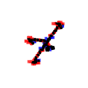 CC(=O)N[C@H]1[C@H](OCCOCCOCCOCC(=O)NCCCCC(NC(=O)COCCOCCOCCO[C@@H]2O[C@H](CO)[C@H](O)[C@H](O)[C@H]2NC(C)=O)C(=O)NC(CCCCNC(=O)COCCOCCOCCO[C@@H]2O[C@H](CO)[C@H](O)[C@H](O)[C@H]2NC(C)=O)C(=O)NC(C(=O)NCC2CCC2)C2CCCC2)O[C@H](CO)[C@H](O)[C@@H]1O